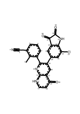 Cc1c(C#N)cccc1-c1nc2[nH]ccc(=O)c2cc1-c1cc(Cl)c2c(c1)C(=O)C(=O)N2